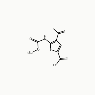 C=C(CC)c1cc(C(=C)C)c(NC(=O)OC(C)(C)C)s1